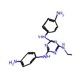 CCNc1nc(Nc2ccc(N)cc2)nc(Nc2ccc(N)cc2)n1